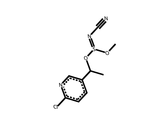 COS(=NC#N)OC(C)c1ccc(Cl)nc1